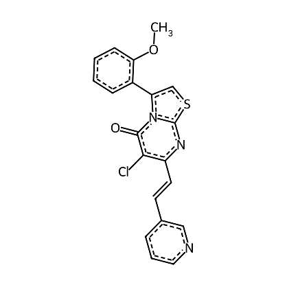 COc1ccccc1-c1csc2nc(/C=C/c3cccnc3)c(Cl)c(=O)n12